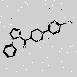 COc1ccc(N2CCC(C(=O)N3N=CC[C@H]3c3ccccc3)CC2)nn1